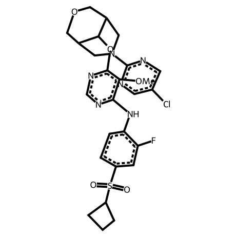 COc1c(Nc2ccc(S(=O)(=O)C3CCC3)cc2F)ncnc1OC1C2COCC1CN(c1ncc(Cl)cn1)C2